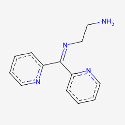 NCCN=C(c1ccccn1)c1ccccn1